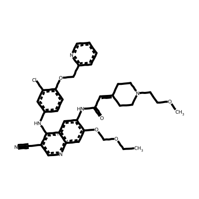 CCOCOc1cc2ncc(C#N)c(Nc3ccc(OCc4ccccn4)c(Cl)c3)c2cc1NC(=O)C=C1CCN(CCOC)CC1